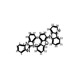 c1ccc2c(c1)nc1n(-c3cccc4oc5c(-n6c7ccccc7c7ncccc76)cccc5c34)c3ccccc3n21